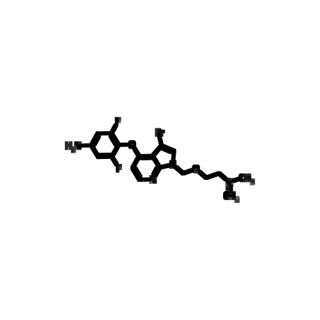 C[SiH](C)CCOCn1cc(Br)c2c(Oc3c(F)cc(N)cc3F)ccnc21